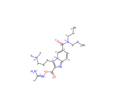 C/C(N)=N/OC(=O)c1nc2ccc(C(=O)N(CCC(C)C)CCC(C)C)cn2c1CCCN(C)C